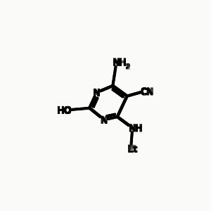 CCNc1nc(O)nc(N)c1C#N